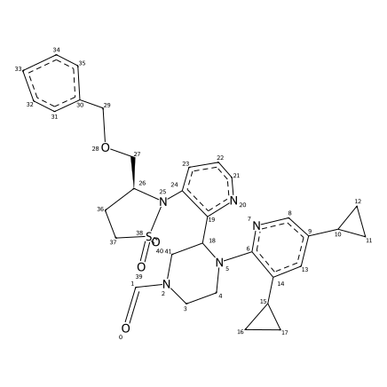 O=CN1CCN(c2ncc(C3CC3)cc2C2CC2)C(c2ncccc2N2[C@H](COCc3ccccc3)CCS2(=O)=O)C1